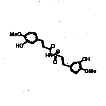 COc1ccc(/C=C/C(=O)NS(=O)(=O)/C=C/c2ccc(OC)c(O)c2)cc1O